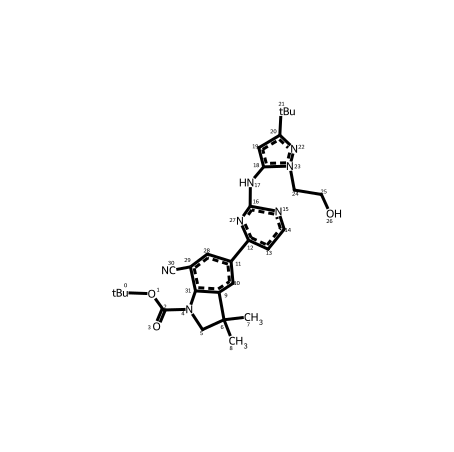 CC(C)(C)OC(=O)N1CC(C)(C)c2cc(-c3ccnc(Nc4cc(C(C)(C)C)nn4CCO)n3)cc(C#N)c21